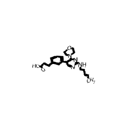 CCCCCNc1ncc(-c2cccc(C=CC(=O)O)c2)c(N2CCOCC2)n1